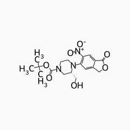 CC(C)(C)OC(=O)N1CCN(c2cc3c(cc2[N+](=O)[O-])C(=O)OC3)[C@H](CO)C1